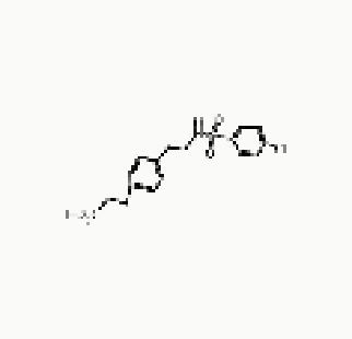 O=C(O)CCc1ccc(CCNS(=O)(=O)c2ccc(Cl)cc2)cc1